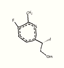 Cc1nc([C@H](I)CO)ccc1F